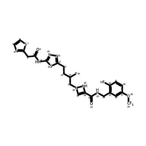 O=C(Cc1nccs1)Nc1nnc(CCC(F)Cn2cc(C(=O)NCc3cc(OC(F)(F)F)ccc3F)[nH]2)s1